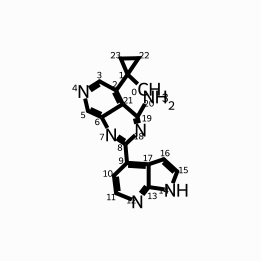 CC1(c2cncc3nc(-c4ccnc5[nH]ccc45)nc(N)c23)CC1